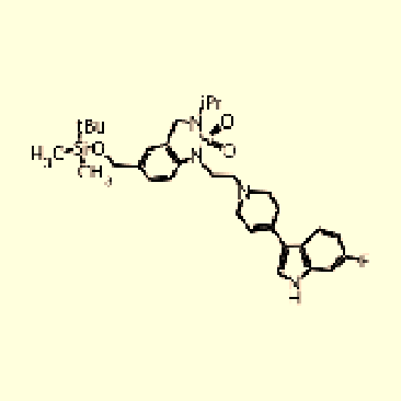 CC(C)N1Cc2cc(CO[Si](C)(C)C(C)(C)C)ccc2N(CCN2CC=C(c3c[nH]c4cc(F)ccc34)CC2)S1(=O)=O